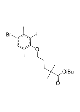 Cc1cc(Br)c(C)c(I)c1OCCCC(C)(C)C(=O)OCC(C)C